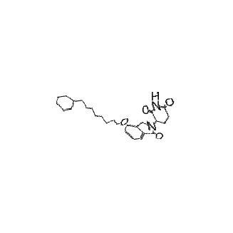 O=C1CCC(N2Cc3c(OCCCCCCCCC4CCCCC4)cccc3C2=O)C(=O)N1